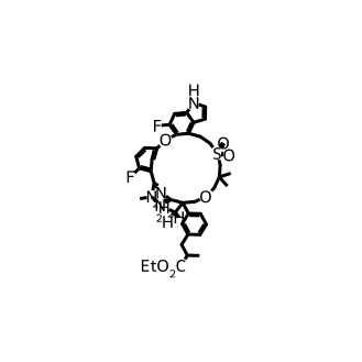 [2H]C([2H])([2H])C1(c2cccc(CC(C)C(=O)OCC)c2)COCC(C)(C)CS(=O)(=O)CCc2c(c(F)cc3[nH]ccc23)Oc2ccc(F)c(c2)-c2nc1nn2C